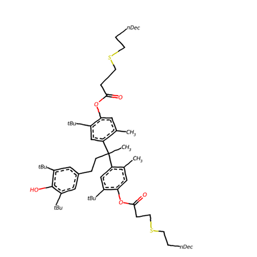 CCCCCCCCCCCCSCCC(=O)Oc1cc(C)c(C(C)(CCc2cc(C(C)(C)C)c(O)c(C(C)(C)C)c2)c2cc(C(C)(C)C)c(OC(=O)CCSCCCCCCCCCCCC)cc2C)cc1C(C)(C)C